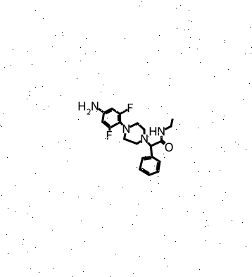 CCNC(=O)C(c1ccccc1)N1CCN(c2c(F)cc(N)cc2F)CC1